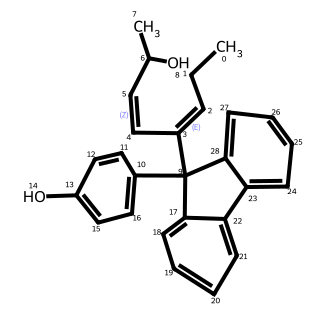 CC/C=C(\C=C/C(C)O)C1(c2ccc(O)cc2)c2ccccc2-c2ccccc21